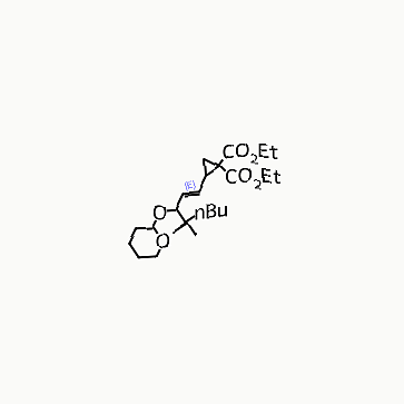 CCCCC(C)(C)C(/C=C/C1CC1(C(=O)OCC)C(=O)OCC)OC1CCCCO1